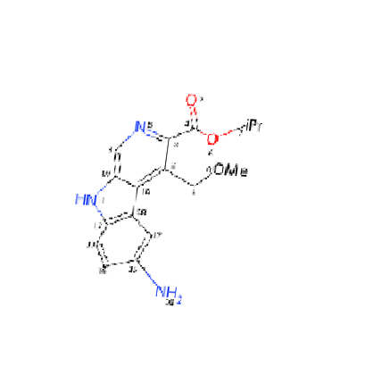 COCc1c(C(=O)OC(C)C)ncc2[nH]c3ccc(N)cc3c12